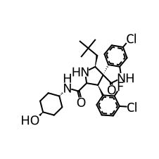 CC(C)(C)C[C@@H]1NC(C(=O)N[C@H]2CC[C@H](O)CC2)[C@H](c2cccc(Cl)c2F)[C@]12C(=O)Nc1cc(Cl)ccc12